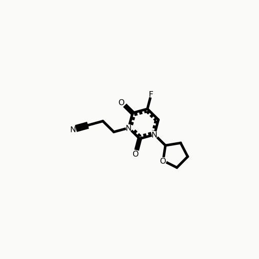 N#CCCn1c(=O)c(F)cn(C2CCCO2)c1=O